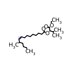 CCCCC(C)/C=C\CCCCCCCC(=O)OC(C(=O)OCC)C(C)C